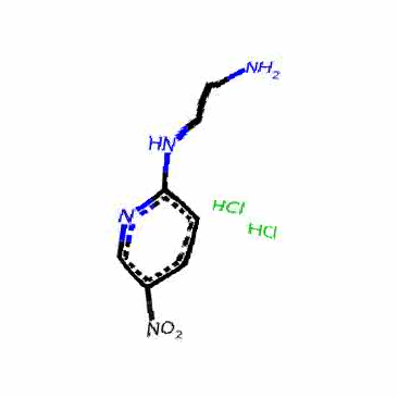 Cl.Cl.NCCNc1ccc([N+](=O)[O-])cn1